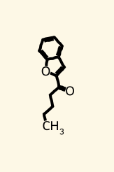 CCCCC(=O)c1cc2ccccc2o1